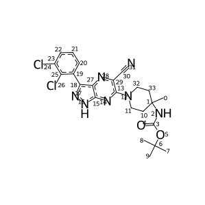 CC1(NC(=O)OC(C)(C)C)CCN(c2nc3[nH]nc(-c4cccc(Cl)c4Cl)c3nc2C#N)CC1